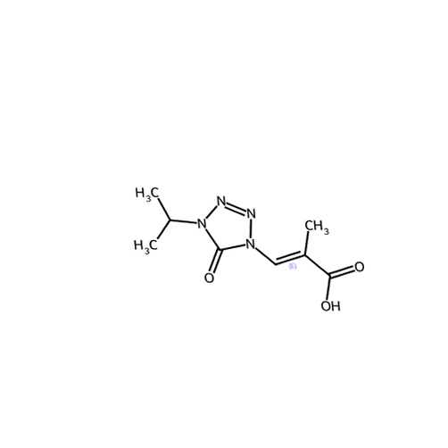 C/C(=C\n1nnn(C(C)C)c1=O)C(=O)O